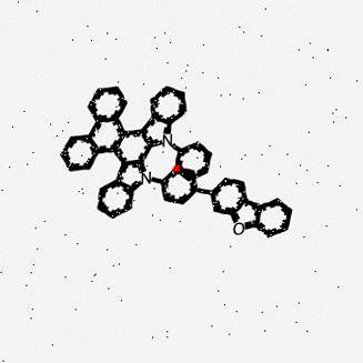 c1ccc(-n2c3ccccc3c3c4c5ccccc5c5ccccc5c4c4c5ccccc5n(-c5ccc(-c6ccc7c(c6)oc6ccccc67)cc5)c4c32)cc1